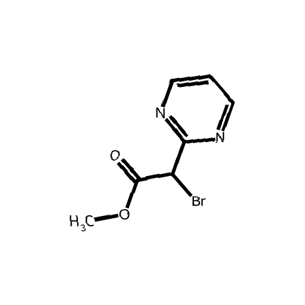 COC(=O)C(Br)c1ncccn1